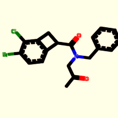 CC(=O)CN(Cc1ccccc1)C(=O)C1Cc2c1ccc(Br)c2Cl